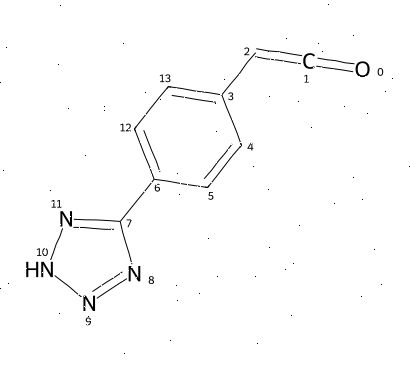 O=C=Cc1ccc(-c2nn[nH]n2)cc1